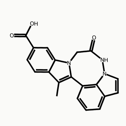 Cc1c2n(c3cc(C(=O)O)ccc13)CC(=O)Nn1ccc3cccc-2c31